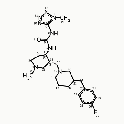 CN1CC[C@@H](NC(=O)Nc2nnnn2C)[C@H](CN2CCCC(Cc3ccc(F)cc3)C2)C1